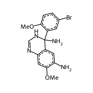 COc1cc2c(cc1N)C(N)(c1cc(Br)ccc1OC)NC=N2